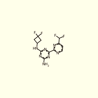 Nc1nc(NC2CC(F)(F)C2)nc(-c2nccc(C(F)F)n2)n1